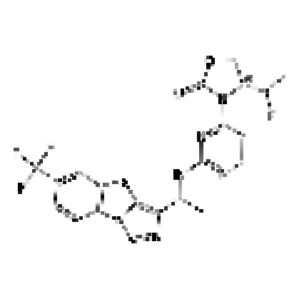 CC(Nc1nccc(N2C(=O)OC[C@@H]2C(C)F)n1)c1ncn2c1sc1cc(C(F)(F)F)ccc12